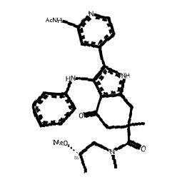 CO[C@@H](C)CN(C)C(=O)C1(C)CC(=O)c2c([nH]c(-c3ccnc(NC(C)=O)c3)c2Nc2ccccc2)C1